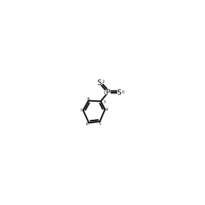 S=P(=S)c1ccccc1